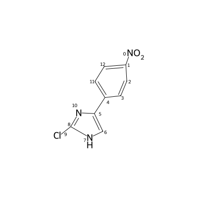 O=[N+]([O-])c1ccc(-c2c[nH]c(Cl)n2)cc1